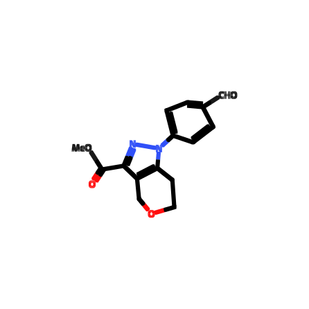 COC(=O)c1nn(-c2ccc(C=O)cc2)c2c1COCC2